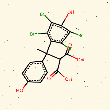 CC(c1ccc(O)cc1)(c1c(Br)c(Br)c(O)c(Br)c1Br)C(C(=O)O)C(=O)O